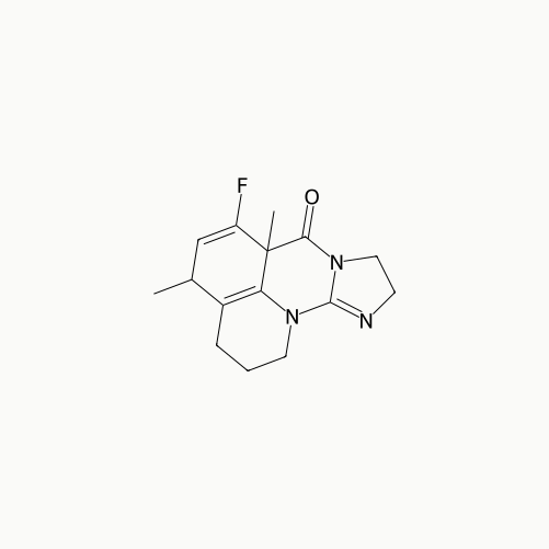 CC1C=C(F)C2(C)C(=O)N3CCN=C3N3CCCC1=C32